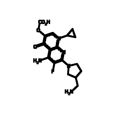 NCC1CCN(c2nc3c(c(N)c2F)c(=O)c(OC(=O)O)cn3C2CC2)C1